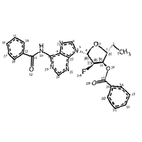 CC[C@H]1O[C@@H](n2cnc3c(NC(=O)c4ccccc4)ncnc32)[C@H](F)[C@@H]1OC(=O)c1ccccc1